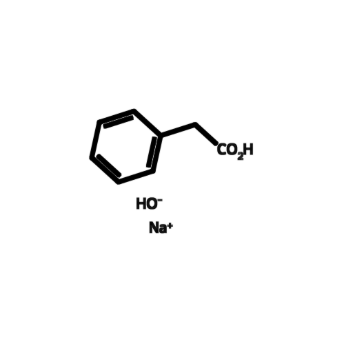 O=C(O)Cc1ccccc1.[Na+].[OH-]